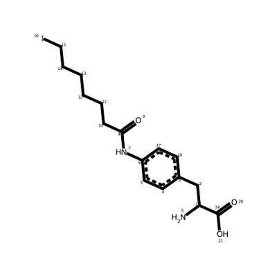 NC(Cc1ccc(NC(=O)CCCCCCI)cc1)C(=O)O